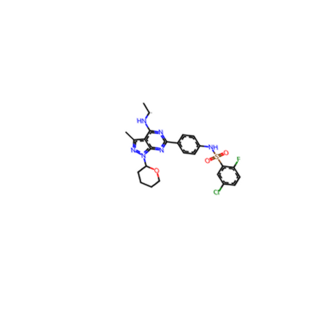 C[CH]Nc1nc(-c2ccc(NS(=O)(=O)c3cc(Cl)ccc3F)cc2)nc2c1c(C)nn2C1CCCCO1